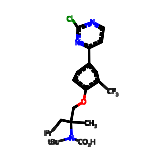 CC(C)CC(C)(COc1ccc(-c2ccnc(Cl)n2)cc1C(F)(F)F)N(C(=O)O)C(C)(C)C